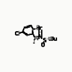 C[C@@H](N[S+]([O-])C(C)(C)C)c1cc(Cl)ccc1Br